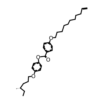 C=CCCCCCCCCCOc1ccc(C(=O)Oc2ccc(OCCC[C@@H](C)CC)cc2)cc1